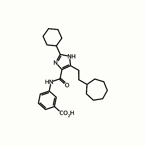 O=C(O)c1cccc(NC(=O)c2nc(C3CCCCC3)[nH]c2CCC2CCCCCC2)c1